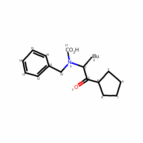 CCC(C)C(C(=O)C1CCCC1)N(Cc1ccccc1)C(=O)O